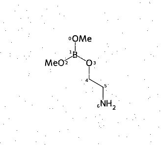 COB(OC)OCCN